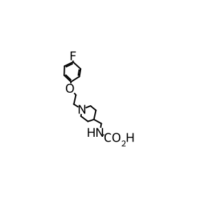 O=C(O)NCC1CCN(CCOc2ccc(F)cc2)CC1